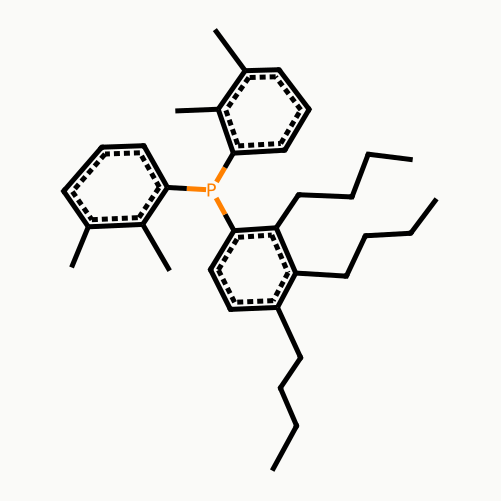 CCCCc1ccc(P(c2cccc(C)c2C)c2cccc(C)c2C)c(CCCC)c1CCCC